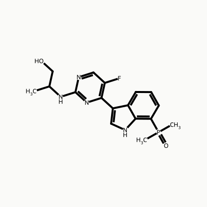 CC(CO)Nc1ncc(F)c(-c2c[nH]c3c(P(C)(C)=O)cccc23)n1